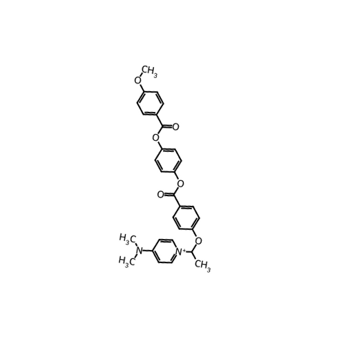 COc1ccc(C(=O)Oc2ccc(OC(=O)c3ccc(OC(C)[n+]4ccc(N(C)C)cc4)cc3)cc2)cc1